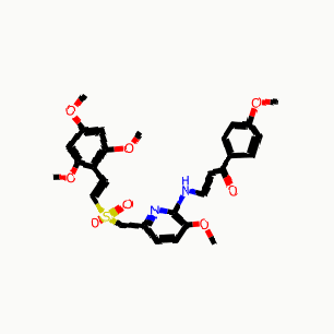 COc1ccc(C(=O)C=CNc2nc(CS(=O)(=O)C=Cc3c(OC)cc(OC)cc3OC)ccc2OC)cc1